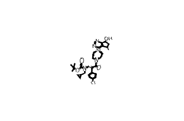 C[C@@H]1C[C@H](O)c2ncnc(N3CCN(C(=O)[C@H](CN(CC4CC4)C(=O)OC(C)(C)C)c4ccc(Cl)cc4)CC3)c21